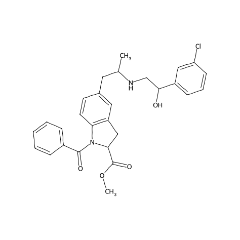 COC(=O)C1Cc2cc(CC(C)NCC(O)c3cccc(Cl)c3)ccc2N1C(=O)c1ccccc1